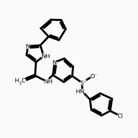 C=C(Nc1cc([S+]([O-])Nc2ccc(Cl)cc2)ccn1)c1cnc(-c2ccccc2)[nH]1